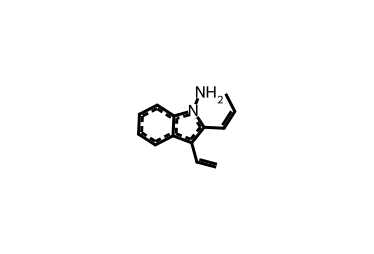 C=Cc1c(/C=C\C)n(N)c2ccccc12